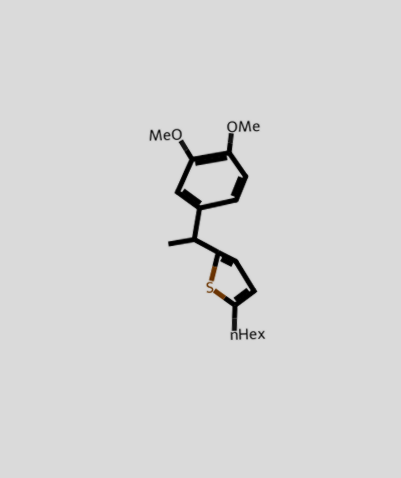 CCCCCCc1ccc(C(C)c2ccc(OC)c(OC)c2)s1